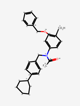 O=C(O)c1ccc(N(Cc2ccc(C3CCCCC3)cc2)C(=O)C(F)(F)F)cc1OCc1ccccc1